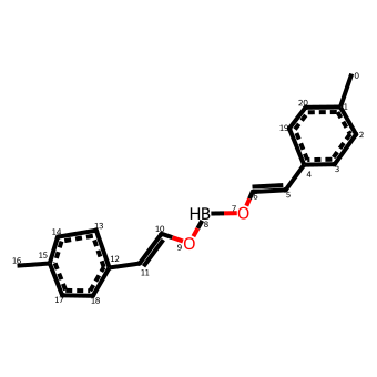 Cc1ccc(C=COBOC=Cc2ccc(C)cc2)cc1